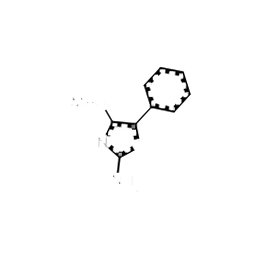 COc1nc(N)sc1-c1ccccc1